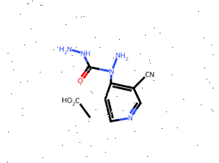 CC(=O)O.N#Cc1cnccc1N(N)C(=O)NN